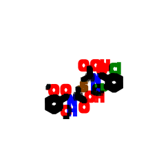 COc1cccc(OC)c1C(=O)N[C@@H](CSC[C@H](NC(=O)c1c(Cl)cccc1Cl)C(=O)O)C(=O)O